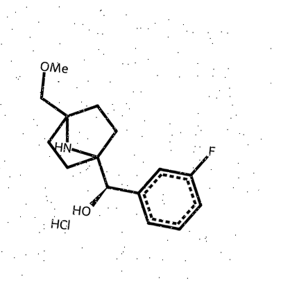 COCC12CCC([C@H](O)c3cccc(F)c3)(CC1)N2.Cl